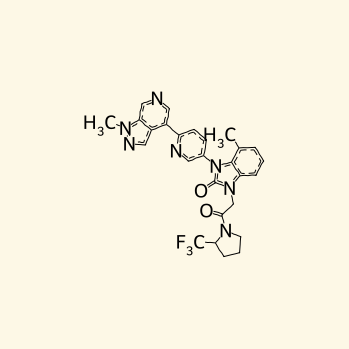 Cc1cccc2c1n(-c1ccc(-c3cncc4c3cnn4C)nc1)c(=O)n2CC(=O)N1CCCC1C(F)(F)F